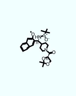 COc1cc2ccccc2cc1[C@H](N[S+]([O-])C(C)(C)C)C1CCN(C(=O)[C@H]2COC(C)(C)O2)CC1